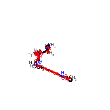 COc1cc2c(cc1OCCCCCOc1cc3c(cc1OC)C(=O)N1C=C(C)C[C@H]1[C@H](O)N3C(=O)OCc1ccc(NC(=O)[C@H](C)NC(=O)[C@@H](NC(=O)CCOCCOCCOCCOCCOCCOCCOCCOCCNC(=O)CCN3C(=O)CC(C4CCCCCCCC(C)C4)C3=O)C(C)C)cc1)N=C[C@@H]1CC(C)=CN1C2=O